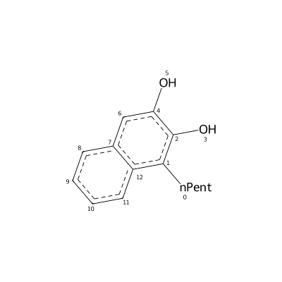 CCCCCc1c(O)c(O)cc2ccccc12